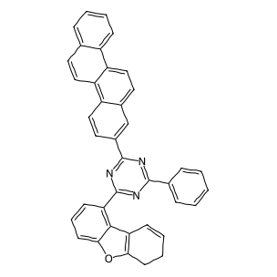 C1=Cc2c(oc3cccc(-c4nc(-c5ccccc5)nc(-c5ccc6c(ccc7c8ccccc8ccc67)c5)n4)c23)CC1